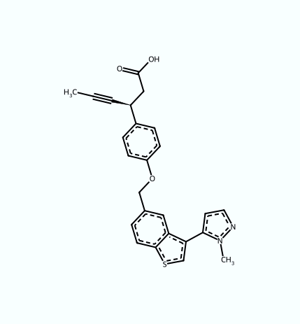 CC#C[C@@H](CC(=O)O)c1ccc(OCc2ccc3scc(-c4ccnn4C)c3c2)cc1